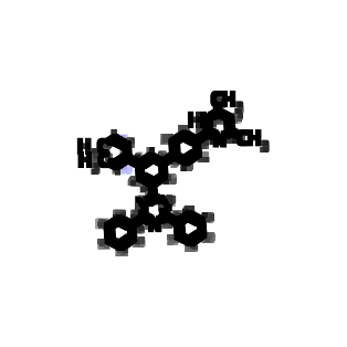 C/C=C\C(=C/C)C1=CC(c2ccc(C3=NC(C)=CC(C)N3)cc2)CC(c2nc(-c3ccccc3)nc(-c3ccccc3)n2)=C1